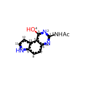 CC(=O)Nc1nc(O)c2c(ccc3[nH]ccc32)n1